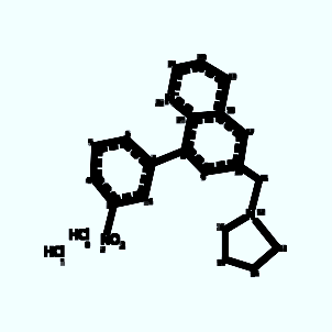 Cl.Cl.O=[N+]([O-])c1cccc(-c2cc(CN3CCCC3)cc3cccnc23)c1